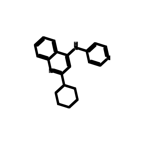 c1ccc2c(Nc3ccncc3)cc(C3CCCCC3)nc2c1